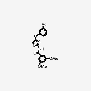 COc1cc(OC)cc(C(=O)Nc2ncc(Oc3cccc(C(C)=O)c3)s2)c1